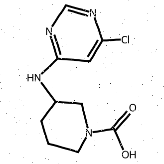 O=C(O)N1CCCC(Nc2cc(Cl)ncn2)C1